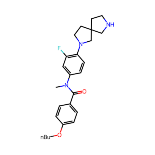 CCCCOc1ccc(C(=O)N(C)c2ccc(N3CCC4(CCNC4)C3)c(F)c2)cc1